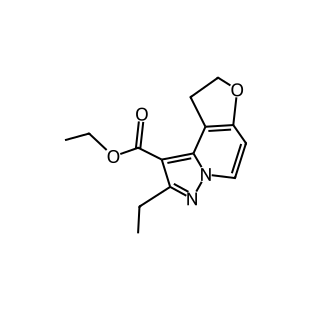 CCOC(=O)c1c(CC)nn2ccc3c(c12)CCO3